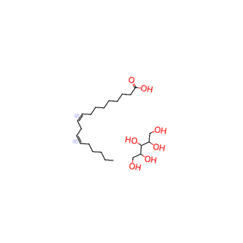 CCCCC/C=C\C/C=C\CCCCCCCC(=O)O.OCC(O)C(O)C(O)CO